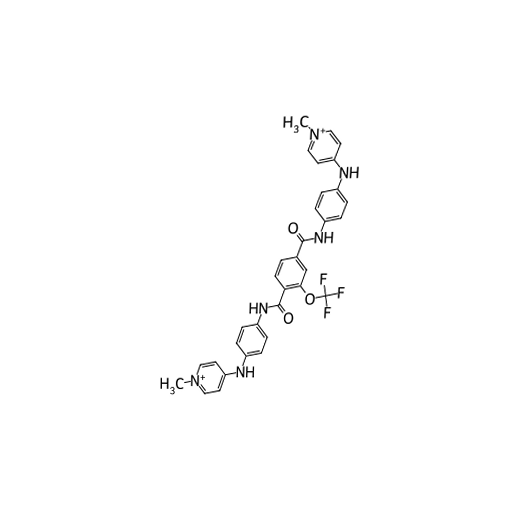 C[n+]1ccc(Nc2ccc(NC(=O)c3ccc(C(=O)Nc4ccc(Nc5cc[n+](C)cc5)cc4)c(OC(F)(F)F)c3)cc2)cc1